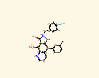 Cc1cccc(-c2c3c(c(O)c4ncccc24)C(=O)N(Cc2ccc(F)cc2)C3)c1